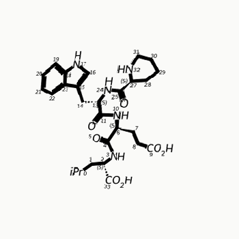 CC(C)C[C@H](NC(=O)[C@H](CCC(=O)O)NC(=O)[C@H](Cc1c[nH]c2ccccc12)NC(=O)[C@@H]1CCCCN1)C(=O)O